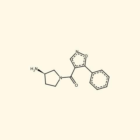 N[C@@H]1CCN(C(=O)c2cnoc2-c2ccccc2)C1